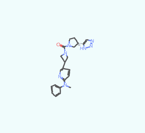 CN(c1ccccc1)c1ccc(C2CN(C(=O)N3CC[C@H](c4cnn[nH]4)C3)C2)cn1